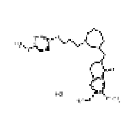 COc1ccc(OCCCN2CCCCC(CN3CCc4cc(OC)c(OC)cc4C3=O)C2)cc1.Cl